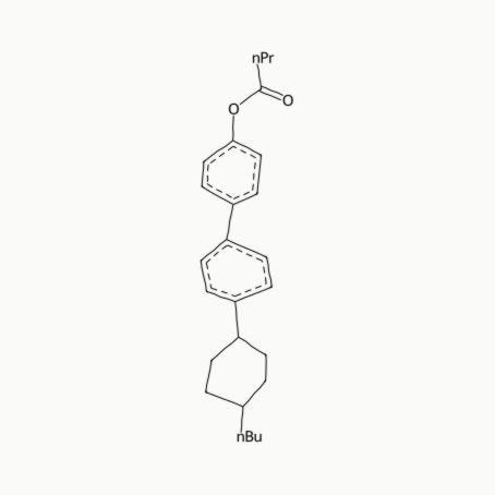 CCCCC1CCC(c2ccc(-c3ccc(OC(=O)CCC)cc3)cc2)CC1